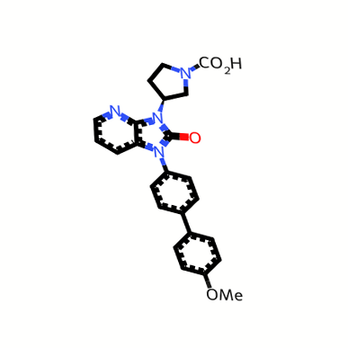 COc1ccc(-c2ccc(-n3c(=O)n([C@H]4CCN(C(=O)O)C4)c4ncccc43)cc2)cc1